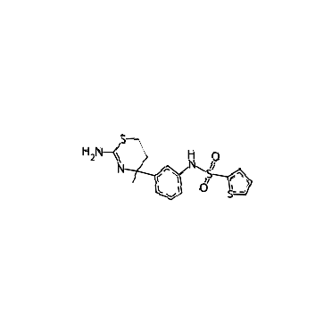 CC1(c2cccc(NS(=O)(=O)c3cccs3)c2)CCSC(N)=N1